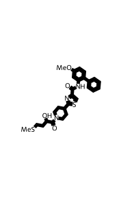 COc1ccc(-c2ccccc2)c(NC(=O)c2csc(C3CCN(C(=O)C(O)CCSC)CC3)n2)c1